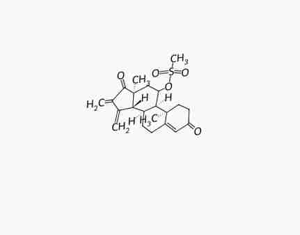 C=C1C(=C)[C@H]2[C@@H]3CCC4=CC(=O)CC[C@]4(C)[C@@H]3C(OS(C)(=O)=O)C[C@]2(C)C1=O